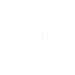 CCC(CC)(CC)[SiH](C)O